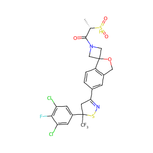 C[C@@H](C(=O)N1CC2(C1)OCc1cc(C3=NSC(c4cc(Cl)c(F)c(Cl)c4)(C(F)(F)F)C3)ccc12)[SH](=O)=O